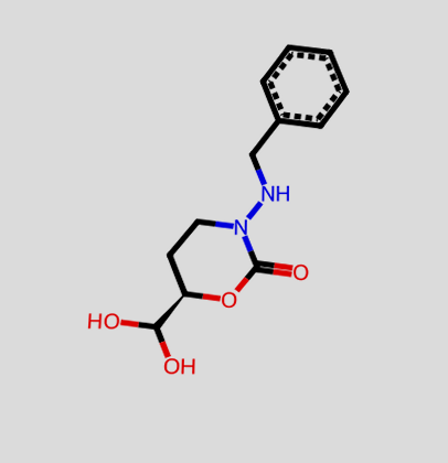 O=C1O[C@@H](C(O)O)CCN1NCc1ccccc1